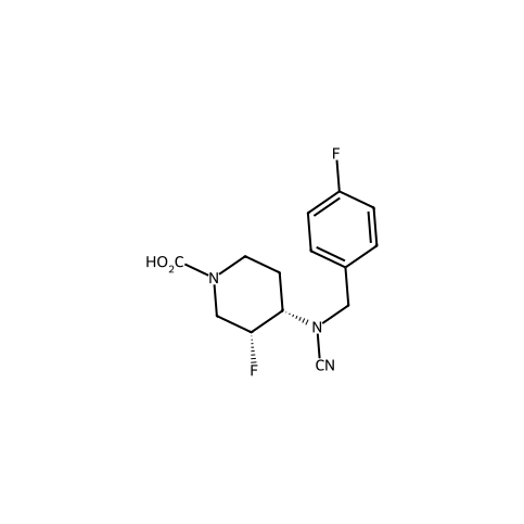 N#CN(Cc1ccc(F)cc1)[C@H]1CCN(C(=O)O)C[C@H]1F